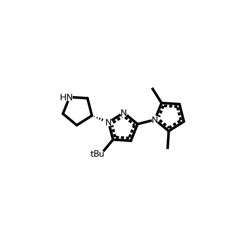 Cc1ccc(C)n1-c1cc(C(C)(C)C)n([C@@H]2CCNC2)n1